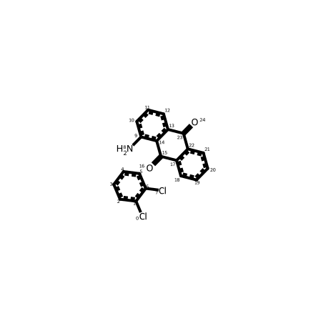 Clc1ccccc1Cl.Nc1cccc2c1C(=O)c1ccccc1C2=O